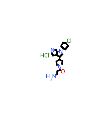 Cl.NCCC(=O)N1CCC(c2cn(-c3ccc(Cl)cc3)c3cnccc23)CC1